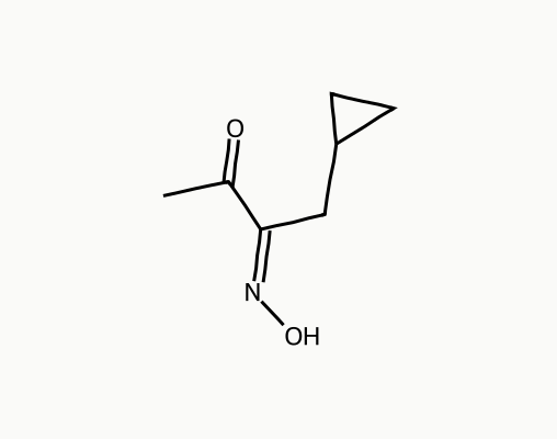 CC(=O)/C(CC1CC1)=N/O